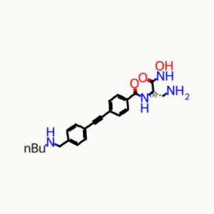 CCCCNCc1ccc(C#Cc2ccc(C(=O)N[C@@H](CN)C(=O)NO)cc2)cc1